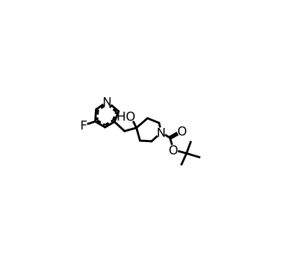 CC(C)(C)OC(=O)N1CCC(O)(Cc2cncc(F)c2)CC1